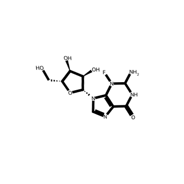 NC1NC(=O)c2ncn([C@@H]3O[C@H](CO)[C@@H](O)[C@H]3O)c2N1F